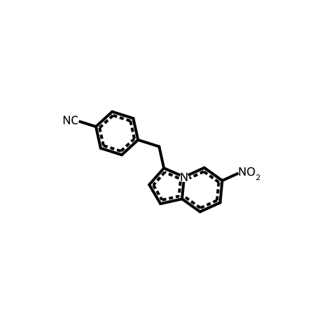 N#Cc1ccc(Cc2ccc3ccc([N+](=O)[O-])cn23)cc1